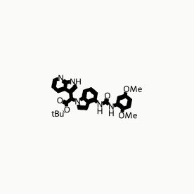 COc1ccc(OC)c(NC(=O)Nc2cccc3c2ccn3C(C(=O)OC(C)(C)C)c2c[nH]c3ncccc23)c1